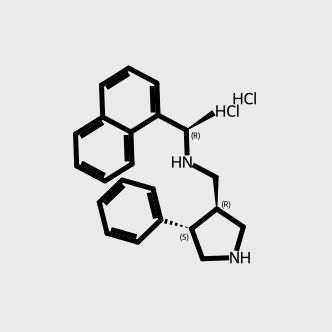 C[C@@H](NC[C@H]1CNC[C@@H]1c1ccccc1)c1cccc2ccccc12.Cl.Cl